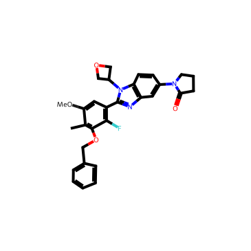 COc1cc(-c2nc3cc(N4CCCC4=O)ccc3n2C2COC2)c(F)c(OCc2ccccc2)c1C